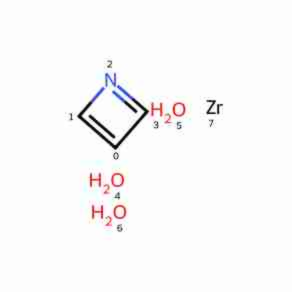 C1=CN=C1.O.O.O.[Zr]